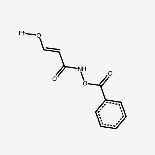 CCOC=CC(=O)NOC(=O)c1ccccc1